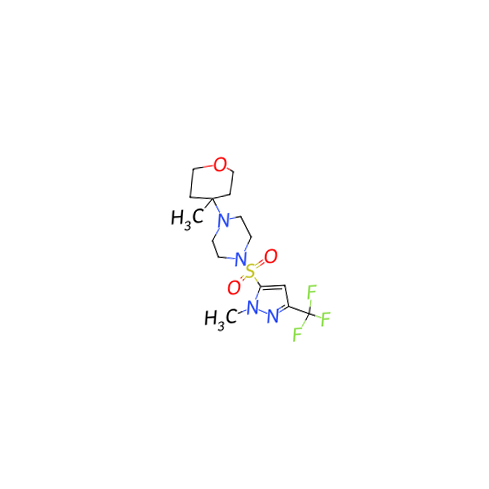 Cn1nc(C(F)(F)F)cc1S(=O)(=O)N1CCN(C2(C)CCOCC2)CC1